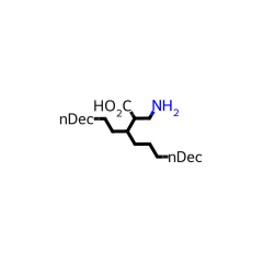 CCCCCCCCCCCCCC(CCCCCCCCCCCC)C(CN)C(=O)O